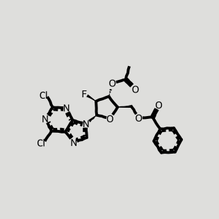 CC(=O)O[C@H]1[C@H](F)[C@H](n2cnc3c(Cl)nc(Cl)nc32)O[C@@H]1COC(=O)c1ccccc1